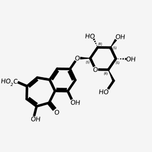 O=C(O)c1cc(O)c(=O)c2c(O)cc(O[C@@H]3O[C@H](CO)[C@@H](O)[C@H](O)[C@H]3O)cc2c1